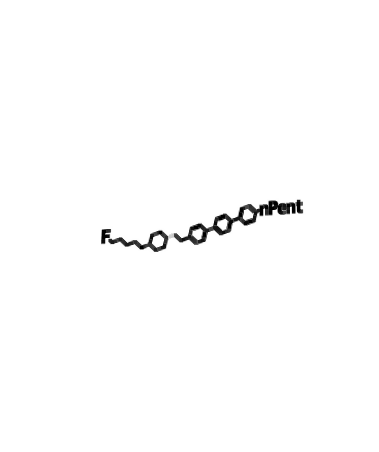 CCCCCc1ccc(-c2ccc(-c3ccc(CC[C@H]4CC[C@H](CCCCCF)CC4)cc3)cc2)cc1